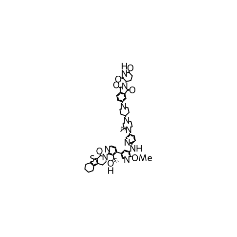 COc1ncc(-c2ccnc(N3CCc4c(sc5c4CCCC5)C3=O)c2[C@H](C)O)cc1Nc1ccc(N2CCN(C3CCN(c4ccc5c(c4)C(=O)N(C4CCC(=O)NC4=O)C5=O)CC3)C[C@@H]2C)cn1